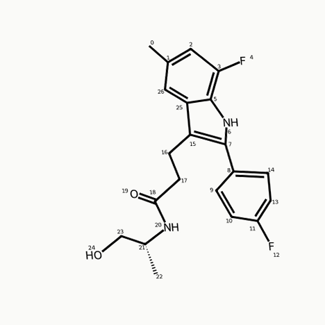 Cc1cc(F)c2[nH]c(-c3ccc(F)cc3)c(CCC(=O)N[C@H](C)CO)c2c1